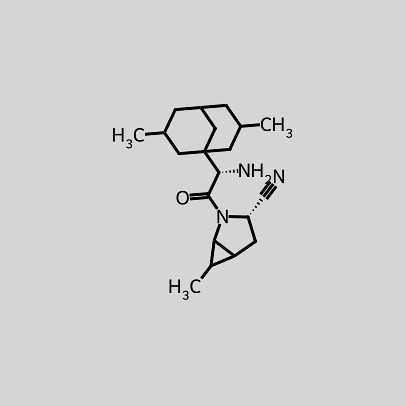 CC1CC2CC(C)CC([C@H](N)C(=O)N3C4C(C)C4C[C@H]3C#N)(C1)C2